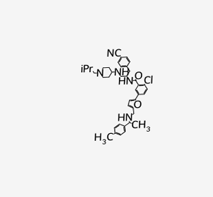 Cc1ccc(C(C)NCc2ccc(-c3ccc(Cl)c(C(=O)NC(CNC4CCN(CC(C)C)CC4)Cc4ccc(C#N)cc4)c3)o2)cc1